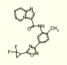 Cc1ccc(-c2noc(C3CC3(F)F)n2)cc1NC(=O)c1cnc2ccccn12